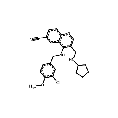 COc1ccc(CNc2c(CNC3CCCC3)cnc3ccc(C#N)cc23)cc1Cl